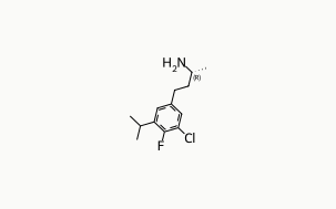 CC(C)c1cc(CC[C@@H](C)N)cc(Cl)c1F